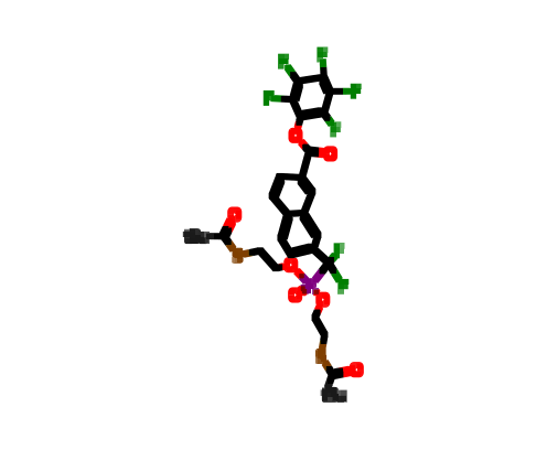 CC(C)(C)C(=O)SCCOP(=O)(OCCSC(=O)C(C)(C)C)C(F)(F)c1ccc2ccc(C(=O)Oc3c(F)c(F)c(F)c(F)c3F)cc2c1